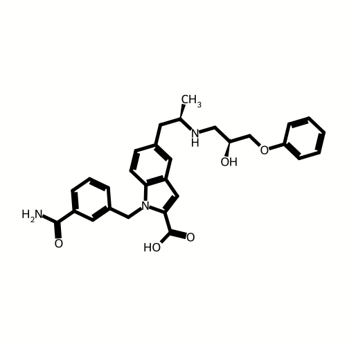 C[C@H](Cc1ccc2c(c1)cc(C(=O)O)n2Cc1cccc(C(N)=O)c1)NC[C@H](O)COc1ccccc1